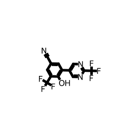 N#Cc1cc(-c2cnc(C(F)(F)F)nc2)c(O)c(C(F)(F)F)c1